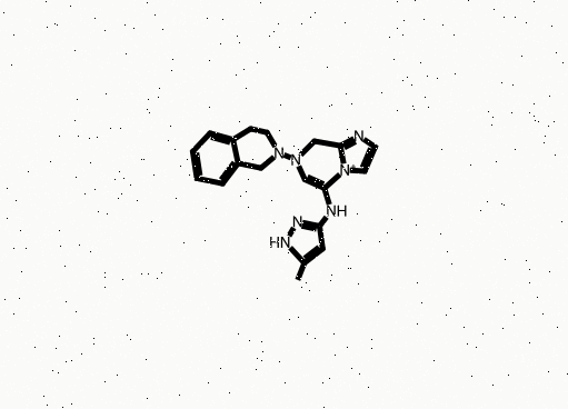 Cc1cc(NC2=CN(N3CCc4ccccc4C3)CC3=NC=C[N+]23)n[nH]1